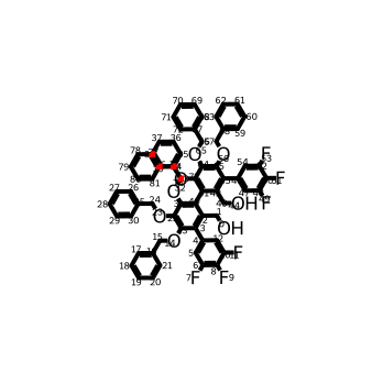 OCc1c(-c2cc(F)c(F)c(F)c2)c(OCc2ccccc2)c(OCc2ccccc2)c(OCc2ccccc2)c1-c1c(CO)c(-c2cc(F)c(F)c(F)c2)c(OCc2ccccc2)c(OCc2ccccc2)c1OCc1ccccc1